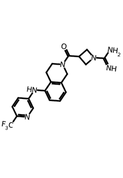 N=C(N)N1CC(C(=O)N2CCc3c(cccc3Nc3ccc(C(F)(F)F)nc3)C2)C1